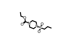 CCCS(=O)(=O)N1CCN(C(=O)OCC)CC1